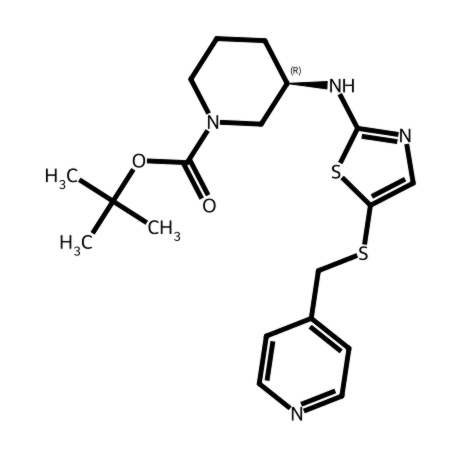 CC(C)(C)OC(=O)N1CCC[C@@H](Nc2ncc(SCc3ccncc3)s2)C1